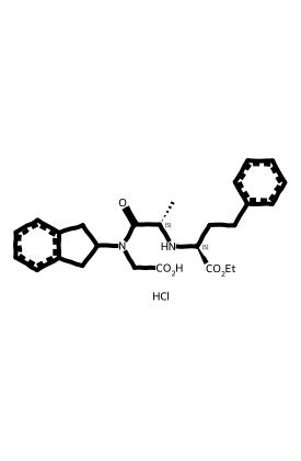 CCOC(=O)[C@H](CCc1ccccc1)N[C@@H](C)C(=O)N(CC(=O)O)C1Cc2ccccc2C1.Cl